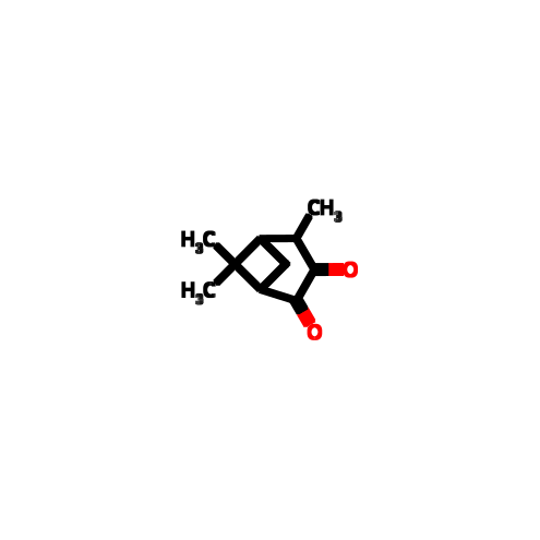 CC1C(=O)C(=O)C2CC1C2(C)C